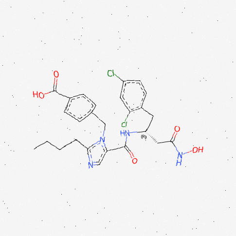 CCCCc1ncc(C(=O)N[C@@H](CC(=O)NO)Cc2ccc(Cl)cc2Cl)n1Cc1ccc(C(=O)O)cc1